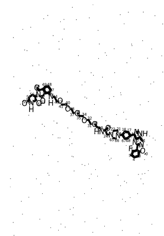 COc1cccc(F)c1-c1ncc2[nH]nc(-c3ccc(N4CCN(CC(=O)NCCOCCOCCOCCOCCOCCNc5cccc6c5C(=O)N(C5CCC(=O)NC5=O)C6=O)CC4)cc3)c2n1